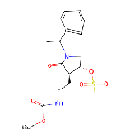 CC(c1ccccc1)N1C[C@H](OS(C)(=O)=O)[C@@H](CCNC(=O)OC(C)(C)C)C1=O